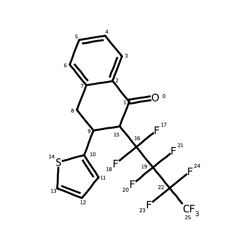 O=C1c2ccccc2CC(c2cccs2)C1C(F)(F)C(F)(F)C(F)(F)C(F)(F)F